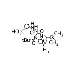 Cc1ccc2c(c1)N(CC(=O)c1cc(C)sc1C)C(=O)C(NC(=O)Nc1cccc(C(=O)O)c1)CN2C(=O)CC(C)(C)C